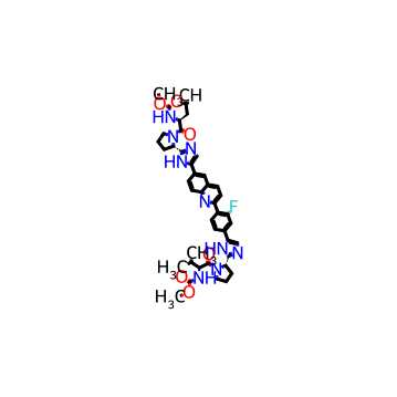 C#CC[C@H](NC(=O)OC)C(=O)N1CCC[C@H]1c1ncc(-c2ccc3nc(-c4ccc(-c5cnc([C@@H]6CCCN6C(=O)[C@@H](NC(=O)OC)C(C)C)[nH]5)cc4F)ccc3c2)[nH]1